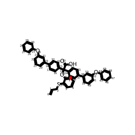 C=CCSc1ccccc1OC(C(=O)O)(c1ccc(-c2cccc(Oc3ccccc3)c2)cc1)c1ccc(-c2cccc(Oc3ccccc3)c2)cc1